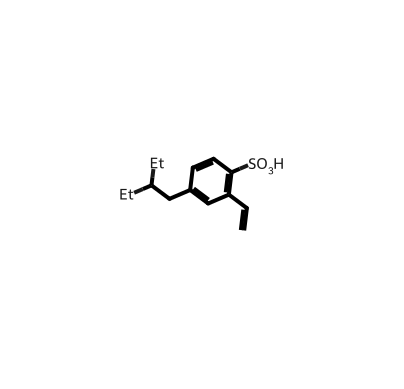 C=Cc1cc(CC(CC)CC)ccc1S(=O)(=O)O